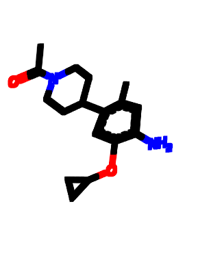 CC(=O)N1CCC(c2cc(OC3CC3)c(N)cc2C)CC1